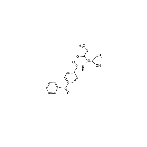 COC(=O)[C@@H](NC(=O)c1ccc(C(=O)c2ccccc2)cc1)C(C)O